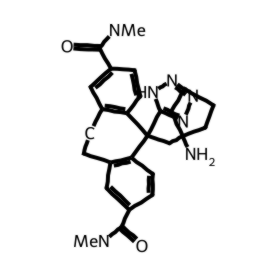 CNC(=O)c1ccc2c(c1)CCc1cc(C(=O)NC)ccc1C2(CC1(N)CCCC1)c1nnn[nH]1